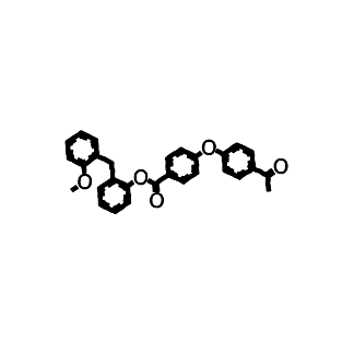 COc1ccccc1Cc1ccccc1OC(=O)c1ccc(Oc2ccc(C(C)=O)cc2)cc1